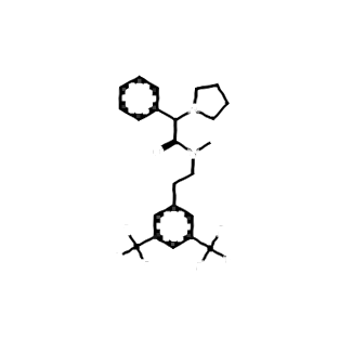 CN(CCc1cc(C(F)(F)F)cc(C(F)(F)F)c1)C(=O)C(c1ccccc1)N1CCCC1